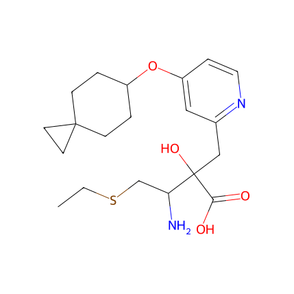 CCSCC(N)C(O)(Cc1cc(OC2CCC3(CC2)CC3)ccn1)C(=O)O